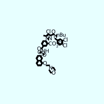 CCCCN(Cc1ccc(Cl)c(Cl)c1)C(=O)c1nn(-c2ccc(C(=O)NS(=O)(=O)c3ccc4cccc(OCCN5CCOCC5)c4c3)cc2C(=O)OCC)c(C)c1Cl